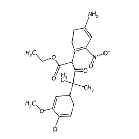 CCOC(=O)C(C(=O)C(C)(C)C1C=C(OC)C(Cl)=CC1)C1=C([N+](=O)[O-])C=C(N)CC1